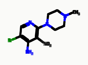 CN1CCN(c2ncc(Br)c(N)c2[N+](=O)[O-])CC1